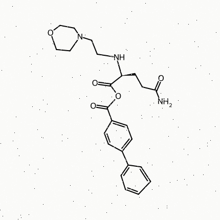 NC(=O)CC[C@H](NCCN1CCOCC1)C(=O)OC(=O)c1ccc(-c2ccccc2)cc1